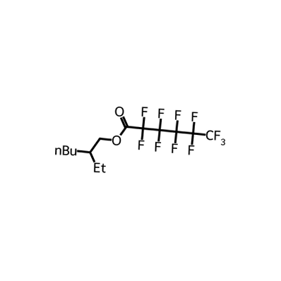 CCCCC(CC)COC(=O)C(F)(F)C(F)(F)C(F)(F)C(F)(F)C(F)(F)F